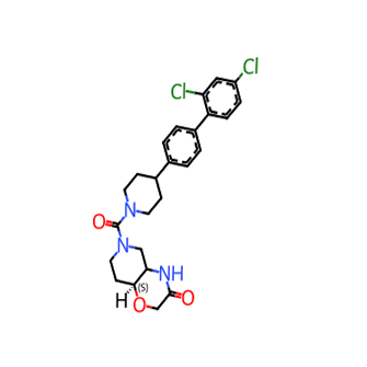 O=C1CO[C@H]2CCN(C(=O)N3CCC(c4ccc(-c5ccc(Cl)cc5Cl)cc4)CC3)CC2N1